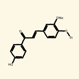 CCOc1ccc(/C=C/C(=O)c2ccc(O)cc2)cc1OC